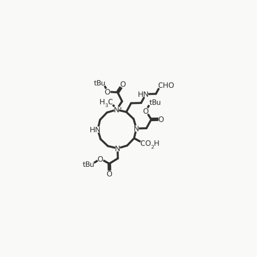 CC(C)(C)OC(=O)CN1CCNCC[N+](C)(CC(=O)OC(C)(C)C)C(CCNCC=O)CN(CC(=O)OC(C)(C)C)C(C(=O)O)C1